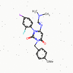 COc1ccc(Cn2c(=O)cc(/N=C/N(C)C)n(-c3ccc(I)cc3F)c2=O)cc1